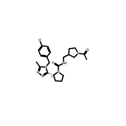 CC(=O)N1CCC(CNC(=O)N2CCC[C@@H]2c2nnc(C)n2Cc2ccc(Cl)cc2)C1